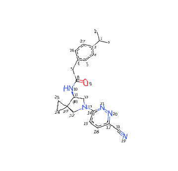 CC(C)c1ccc(CC(=O)N[C@H]2CN(c3ccc(C#N)nn3)CC23CC3)cc1